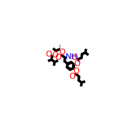 CC(C)CCC(=O)Oc1ccc(C[C@H](N)C(=O)O[C@@H](C)C(C)OC(=O)C(C)C(C)C)cc1OC(=O)CCC(C)C